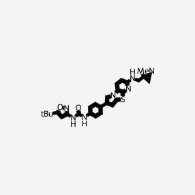 CNC1(CNc2ccc3c(n2)sc2cc(-c4ccc(NC(=O)Nc5cc(C(C)(C)C)on5)cc4)cn23)CC1